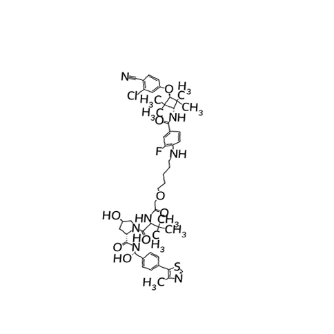 Cc1ncsc1-c1ccc([C@H](O)NC(=O)[C@@H]2C[C@@H](O)CN2C(=O)[C@@H](NC(=O)COCCCCCNc2ccc(C(=O)N[C@H]3C(C)(C)[C@H](Oc4ccc(C#N)c(Cl)c4)C3(C)C)cc2F)C(C)(C)C)cc1